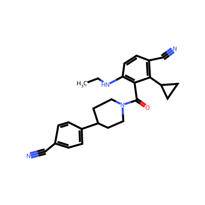 CCNc1ccc(C#N)c(C2CC2)c1C(=O)N1CCC(c2ccc(C#N)cc2)CC1